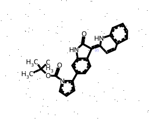 CC(C)(C)OC(=O)n1cccc1-c1ccc2c(c1)NC(=O)/C2=C1/C=Cc2ccccc2N1